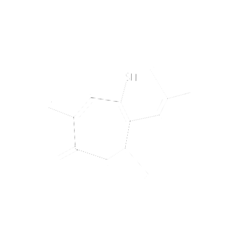 C=C1CC(C)C(C=C(C)C)=C(S)C=C1C